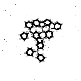 C1=CC2Oc3c(ccc4c5ccccc5n(B5c6ccccc6-n6c7ccc(N(c8ccccc8)c8ccccc8)cc7c7cc(N(c8ccccc8)c8ccccc8)cc5c76)c34)C2C=C1